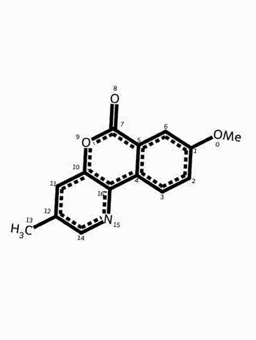 COc1ccc2c(c1)c(=O)oc1cc(C)cnc12